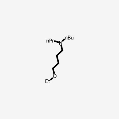 CCCCN(CCC)CCCCOCC